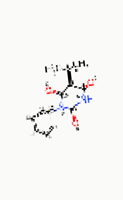 CC(C)=C1C(=O)NC(=O)N(c2ccccc2)C1=O